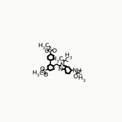 CCS(=O)(=O)c1ccc(-c2cc(S(C)(=O)=O)ccc2Cc2nc3ccc(NC(C)=O)cc3n2C(C)C)cc1